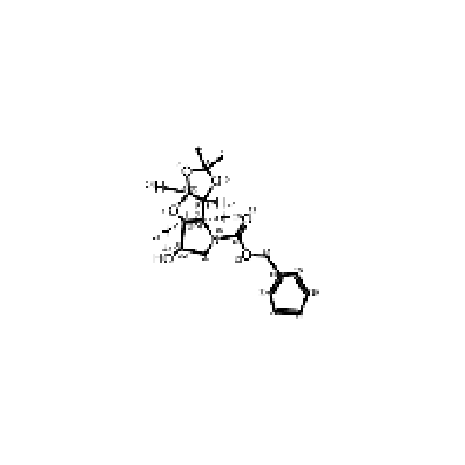 CC1(C)O[C@H]2O[C@H]3[C@@H]([C@H]2O1)N(C(=O)OCc1ccccc1)C[C@H]3O